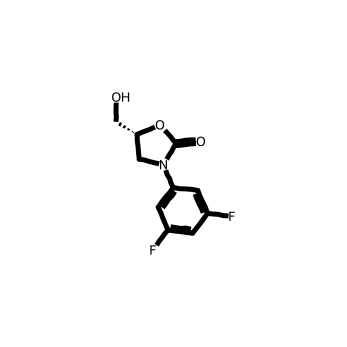 O=C1O[C@@H](CO)CN1c1cc(F)cc(F)c1